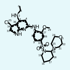 CCNc1cc(Nc2ccc(S(=O)(=O)N3CCCCC3N3CCOCC3)cc2OC)nc2[nH]cc(Cl)c12